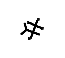 CC(C)C(C)(Br)C(Br)(Br)Br